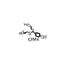 COc1cc(C(SCCO)SCCO)ccc1O